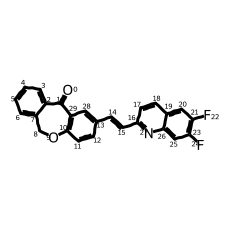 O=C1c2ccccc2COc2ccc(/C=C/c3ccc4cc(F)c(F)cc4n3)cc21